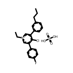 CCCc1cccc(-c2c[n+](CC)cc(-c3ccc(F)cc3)c2Cl)c1.O=S(=O)(O)O